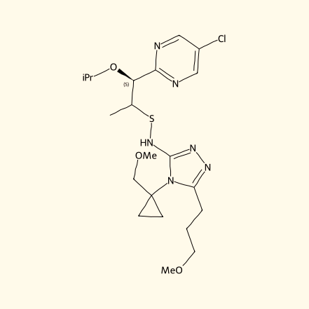 COCCCc1nnc(NSC(C)[C@@H](OC(C)C)c2ncc(Cl)cn2)n1C1(COC)CC1